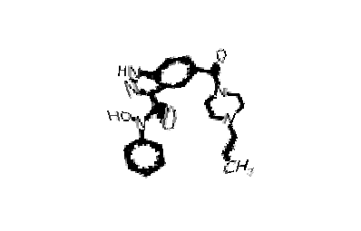 CCCN1CCN(C(=O)c2ccc3[nH]nc(C(=O)N(O)c4ccccc4)c3c2)CC1